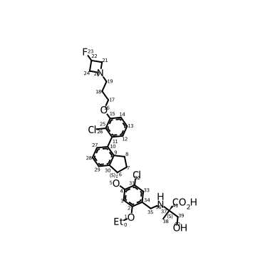 CCOc1cc(O[C@H]2CCc3c(-c4cccc(OCCCN5CC(F)C5)c4Cl)cccc32)c(Cl)cc1CN[C@@](C)(CO)C(=O)O